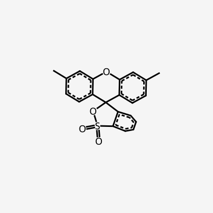 Cc1ccc2c(c1)Oc1cc(C)ccc1C21OS(=O)(=O)c2ccccc21